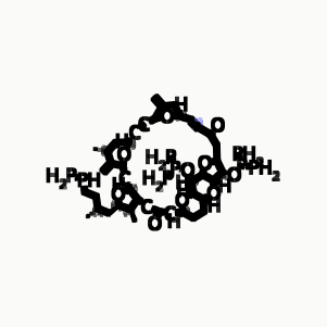 C=C1C[C@@H]2/C=C/C(=O)CC3OC4[C@@H](OP(P)P)[C@H]5O[C@H](CC[C@@H]5O[C@H]4[C@H]3OP(P)P)CC(=O)CC3[C@H](CC4O[C@@H](CCC1O2)C[C@@H](C)C4=C)O[C@H](C[C@H](C)CCPP)[C@@H]3C